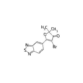 CC1(C)OC(c2ccc3nsnc3c2)=C(Br)C1=O